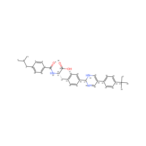 CC(C)Cc1ccc(C(=O)N[C@@H](Cc2ccc(C3N=CC(c4ccc(C(C)(C)C)cc4)=CN3)cc2)C(=O)O)cc1